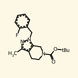 Cc1nn(Cc2ccccc2F)c2c1CCN(C(=O)OC(C)(C)C)C2